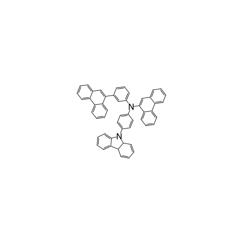 C1=CC2c3ccccc3N(c3ccc(N(c4cccc(-c5cc6ccccc6c6ccccc56)c4)c4cc5ccccc5c5ccccc45)cc3)C2C=C1